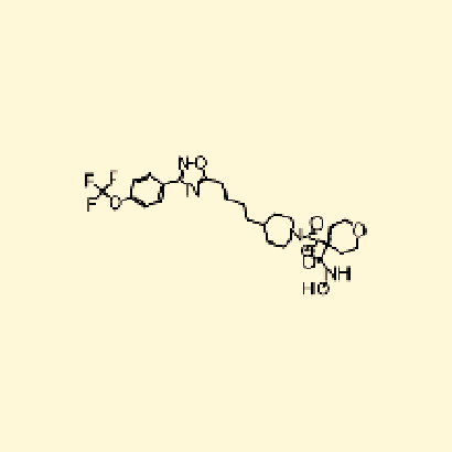 O=C(NO)C1(S(=O)(=O)N2CCC(CCCCc3nc(-c4ccc(OC(F)(F)F)cc4)no3)CC2)CCOCC1